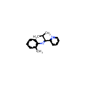 Cc1ccccc1/N=C(/c1ccccn1)C(C)C